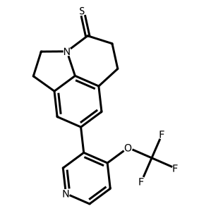 FC(F)(F)Oc1ccncc1-c1cc2c3c(c1)CCN3C(=S)CC2